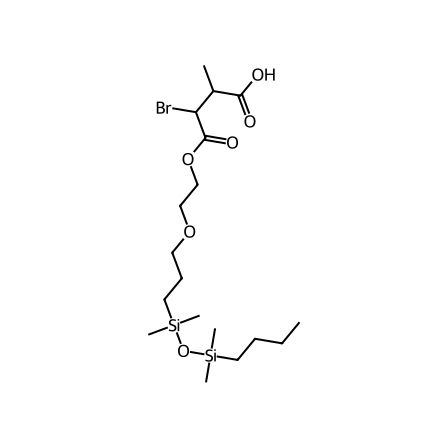 CCCC[Si](C)(C)O[Si](C)(C)CCCOCCOC(=O)C(Br)C(C)C(=O)O